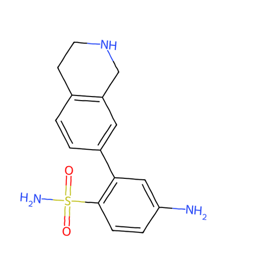 Nc1ccc(S(N)(=O)=O)c(-c2ccc3c(c2)CNCC3)c1